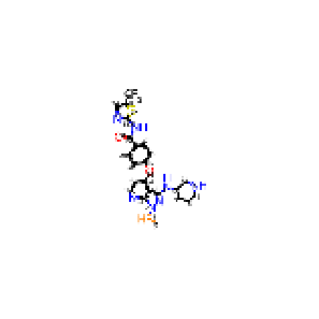 CPn1nc(N[C@@H]2CCCNC2)c2c(Oc3ccc(C(=O)Nc4ncc(C(F)(F)F)s4)cc3)ccnc21